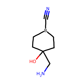 N#CB1CCC(O)(CN)CC1